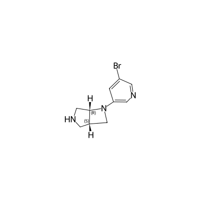 Brc1cncc(N2C[C@@H]3CNC[C@@H]32)c1